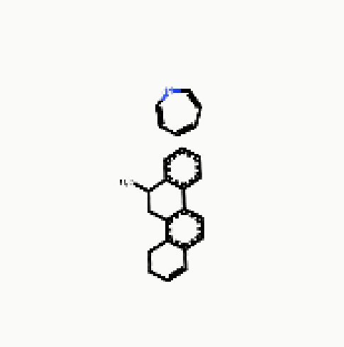 C1=CC=CNC=C1.CC1Cc2c(ccc3c2CCC=C3)-c2ccccc21